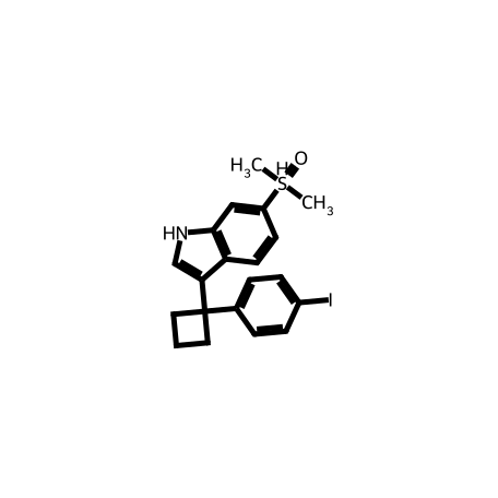 C[SH](C)(=O)c1ccc2c(C3(c4ccc(I)cc4)CCC3)c[nH]c2c1